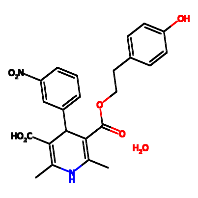 CC1=C(C(=O)O)C(c2cccc([N+](=O)[O-])c2)C(C(=O)OCCc2ccc(O)cc2)=C(C)N1.O